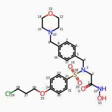 O=C(CN(Cc1ccc(CN2CCOCC2)cc1)S(=O)(=O)c1ccc(OCCCCl)cc1)NO